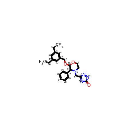 O=C1N=NC(CN2CCOC(OCc3cc(CC(F)(F)F)cc(CC(F)(F)F)c3)C2c2ccccc2)=N1